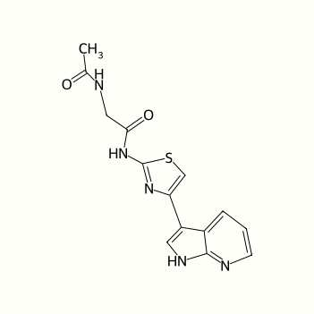 CC(=O)NCC(=O)Nc1nc(-c2c[nH]c3ncccc23)cs1